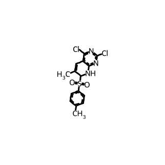 CC1=Cc2c(Cl)nc(Cl)nc2NC1S(=O)(=O)c1ccc(C)cc1